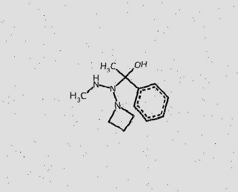 CNN(N1CCC1)C(C)(O)c1ccccc1